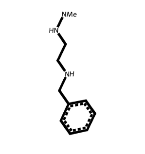 CNNCCNCc1ccccc1